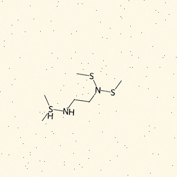 CSN(CCN[SH](C)C)SC